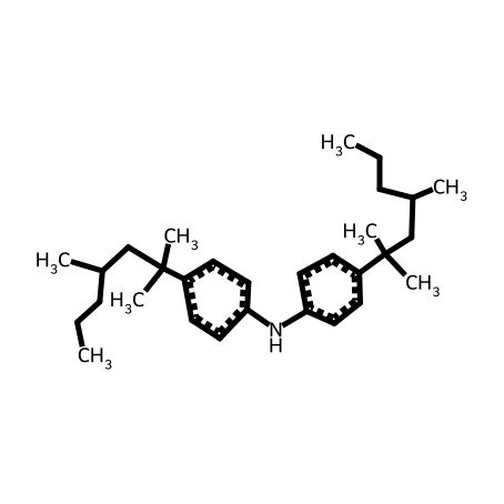 CCCC(C)CC(C)(C)c1ccc(Nc2ccc(C(C)(C)CC(C)CCC)cc2)cc1